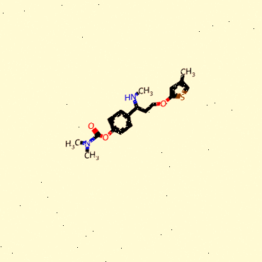 CNC(CCOc1cc(C)cs1)c1ccc(OC(=O)N(C)C)cc1